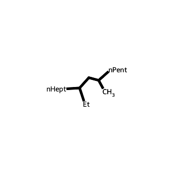 CCCCCCCC(CC)CC(C)CCCCC